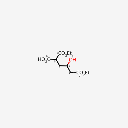 CCOC(=O)CC(O)CC(C(=O)O)C(=O)OCC